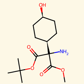 COC(=O)C(N)(C(=O)OC(C)(C)C)[C@H]1CC[C@@H](O)CC1